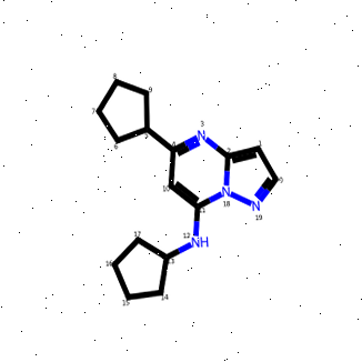 c1cc2nc(C3CCCC3)cc(NC3CCCC3)n2n1